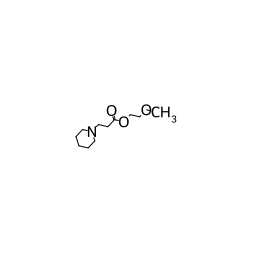 COCCOC(=O)CCN1CCCCC1